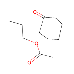 CCCOC(C)=O.O=C1CCCCC1